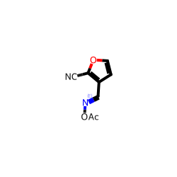 CC(=O)O/N=C/c1ccoc1C#N